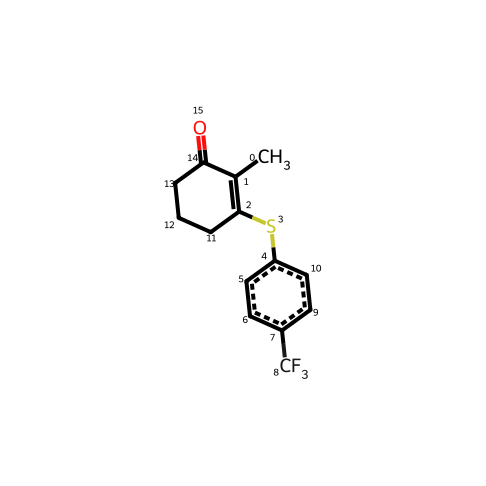 CC1=C(Sc2ccc(C(F)(F)F)cc2)CCCC1=O